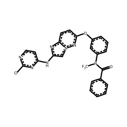 O=C(c1ccccc1)N(c1cccc(Oc2ccc3nc(Nc4ccnc(Cl)n4)cn3n2)c1)C(F)(F)F